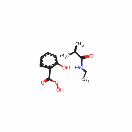 C=C(C)C(=O)NCC.O=C(OO)c1ccccc1O